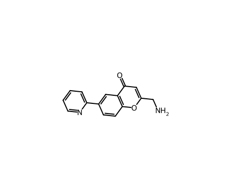 NCc1cc(=O)c2cc(-c3ccccn3)ccc2o1